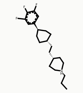 CCC[Si@H]1CC[C@H](CC[C@H]2CC[C@H](c3cc(F)c(F)c(F)c3)CC2)CC1